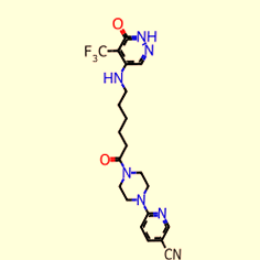 N#Cc1ccc(N2CCN(C(=O)CCCCCNc3cn[nH]c(=O)c3C(F)(F)F)CC2)nc1